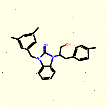 Cc1ccc(CC(CO)n2c(=N)n(Cc3cc(C)cc(C)c3)c3ccccc32)cc1